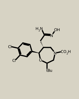 CC(C)(C)C1CN(C(=O)O)C[C@@H](CC(N)=NO)[C@H](c2ccc(Cl)c(Cl)c2)O1